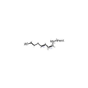 CCCCCN/N=N\C=C\CCCC(C)C